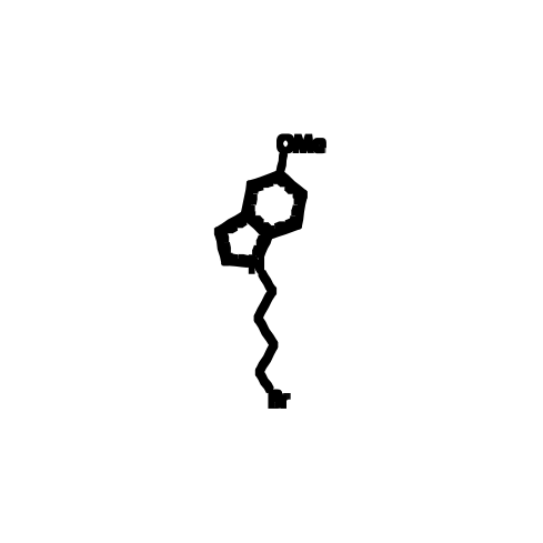 COc1ccc2c(ccn2CCCCBr)c1